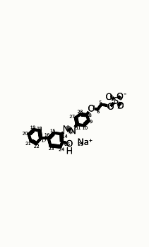 O=S(=O)([O-])OCCOc1ccc(N=Nc2cc(-c3ccccc3)ccc2O)cc1.[Na+]